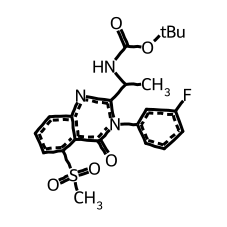 CC(NC(=O)OC(C)(C)C)c1nc2cccc(S(C)(=O)=O)c2c(=O)n1-c1cccc(F)c1